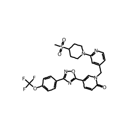 CS(=O)(=O)C1CCN(c2cc(Cn3cc(-c4nc(-c5ccc(OC(F)(F)F)cc5)no4)ccc3=O)ccn2)CC1